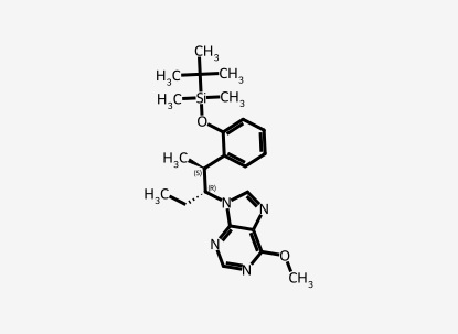 CC[C@H]([C@@H](C)c1ccccc1O[Si](C)(C)C(C)(C)C)n1cnc2c(OC)ncnc21